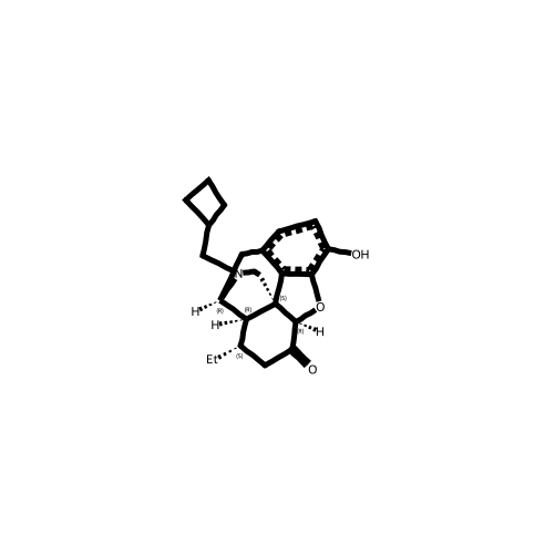 CC[C@H]1CC(=O)[C@@H]2Oc3c(O)ccc4c3[C@@]23CCN(CC2CCC2)[C@H](C4)[C@H]13